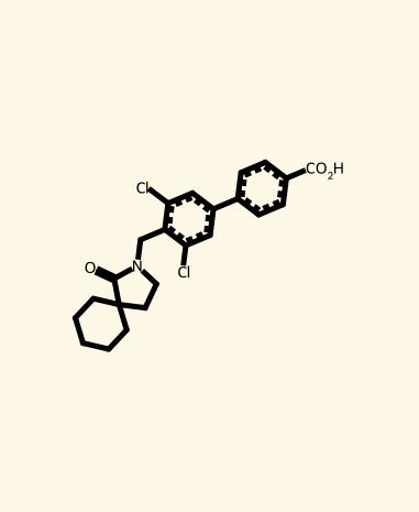 O=C(O)c1ccc(-c2cc(Cl)c(CN3CCC4(CCCCC4)C3=O)c(Cl)c2)cc1